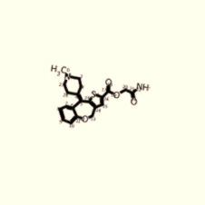 CN1CCC(=C2c3ccccc3OCc3cc(C(=O)OCC([NH])=O)sc32)CC1